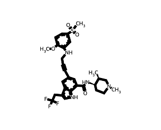 COc1ccc(S(C)(=O)=O)cc1NCC#Cc1cc(C(=O)N[C@@H]2CCN(C)C[C@@H]2C)c2[nH]cc(CC(F)(F)F)c2c1